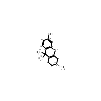 C[C@@H]1CCC2=C(C1)Oc1cc(O)ccc1C2(C)C